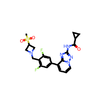 CS(=O)(=O)C1CN(Cc2c(F)cc(-c3cccn4nc(NC(=O)C5CC5)nc34)cc2F)C1